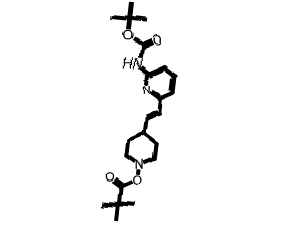 CC(C)(C)OC(=O)Nc1cccc(C=CC2CCN(OC(=O)C(C)(C)C)CC2)n1